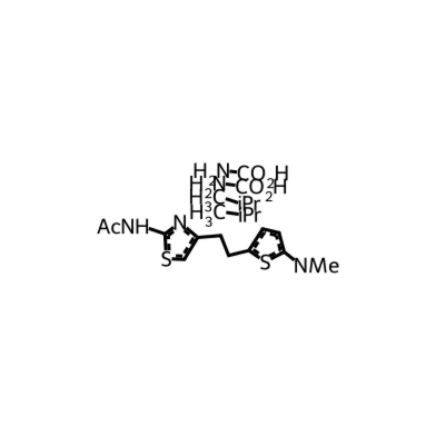 CC(C)C.CC(C)C.CNc1ccc(CCc2csc(NC(C)=O)n2)s1.NC(=O)O.NC(=O)O